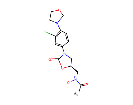 CC(=O)[NH+]([O-])C[C@@H]1CN(c2ccc(N3CCOC3)c(F)c2)C(=O)O1